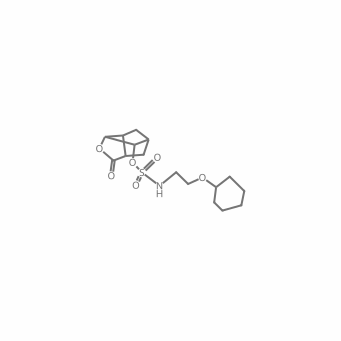 O=C1OC2C3CC(CC13)C2OS(=O)(=O)NCCOC1CCCCC1